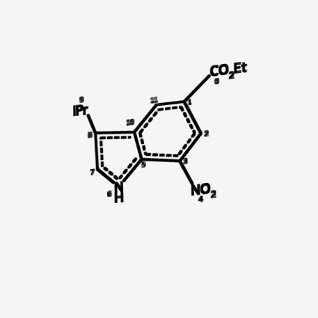 CCOC(=O)c1cc([N+](=O)[O-])c2[nH]cc(C(C)C)c2c1